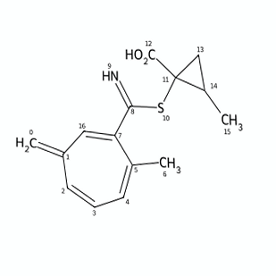 C=C1C=CC=C(C)C(C(=N)SC2(C(=O)O)CC2C)=C1